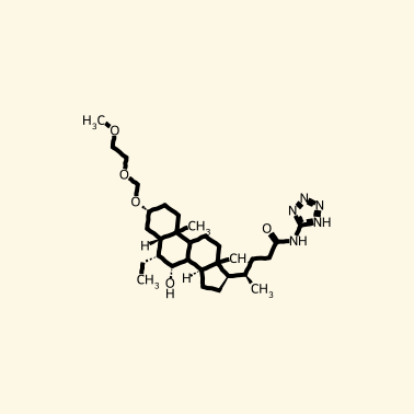 CC[C@H]1[C@@H](O)C2C(CCC3(C)[C@@H]([C@H](C)CCC(=O)Nc4nnn[nH]4)CC[C@@H]23)C2(C)CC[C@@H](OCOCCOC)C[C@@H]12